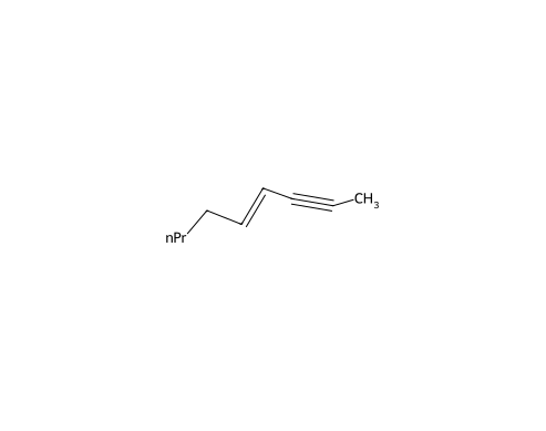 CC#CC=CCCCC